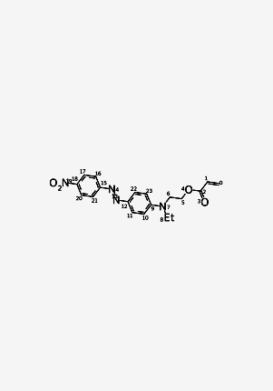 C=CC(=O)OCCN(CC)c1ccc(N=Nc2ccc([N+](=O)[O-])cc2)cc1